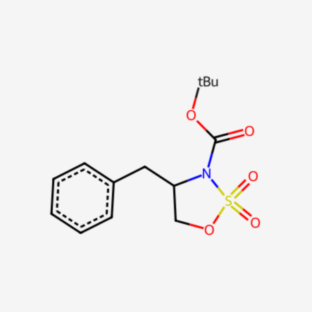 CC(C)(C)OC(=O)N1C(Cc2ccccc2)COS1(=O)=O